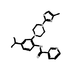 Cc1csc(N2CCN(c3cc(C(C)C)ccc3NC(=O)c3cccnc3)CC2)n1